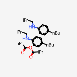 CC(C)C(=O)OC(=O)C(C)C.CCCCc1ccc(NCC(C)C)cc1.CCCCc1ccc(NCC(C)C)cc1